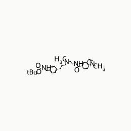 CN(CCCc1ccc(CNC(=O)OC(C)(C)C)cc1)CCNC(=O)c1ccc2c(ccn2C)c1